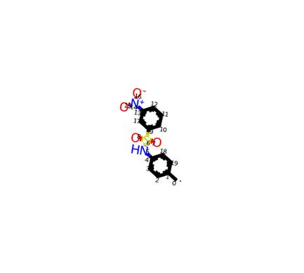 [CH2]c1ccc(NS(=O)(=O)c2cccc([N+](=O)[O-])c2)cc1